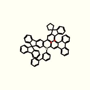 c1ccc(-c2cccc(N(c3ccc4c5ccccc5c5ccccc5c4c3)c3cc4c(cc3-c3ccc5c(c3)C3(CCCC3)c3ccccc3-5)-c3ccccc3C43c4ccccc4-c4ccccc43)c2)cc1